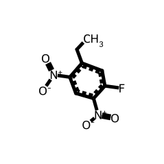 CCc1cc(F)c([N+](=O)[O-])cc1[N+](=O)[O-]